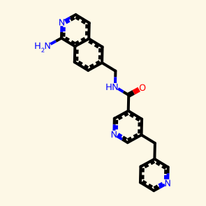 Nc1nccc2cc(CNC(=O)c3cncc(Cc4cccnc4)c3)ccc12